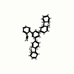 N#Cc1ccccc1-c1cc(-c2ccc3c(c2)oc2ccccc23)cc(-c2ccc3oc4ccccc4c3c2)c1